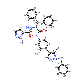 Cc1c(-c2ccc(NC(=O)[C@@H](NC(=O)c3ccnn3C)C(c3ccccc3)c3ccccc3)cc2F)cnn1Cc1ccccc1